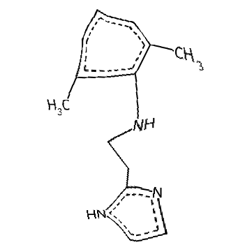 Cc1cccc(C)c1NCc1ncc[nH]1